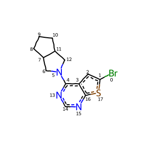 Brc1cc2c(N3CC4CCCC4C3)ncnc2s1